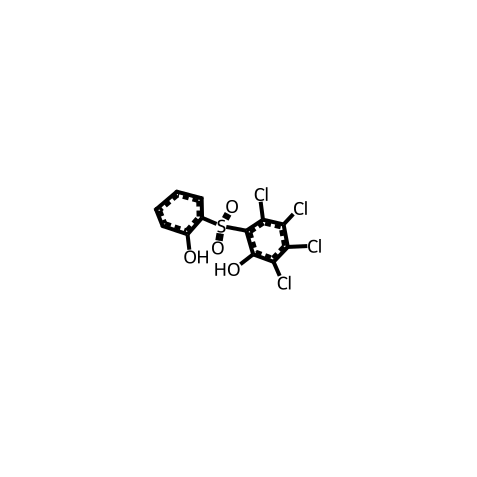 O=S(=O)(c1ccccc1O)c1c(O)c(Cl)c(Cl)c(Cl)c1Cl